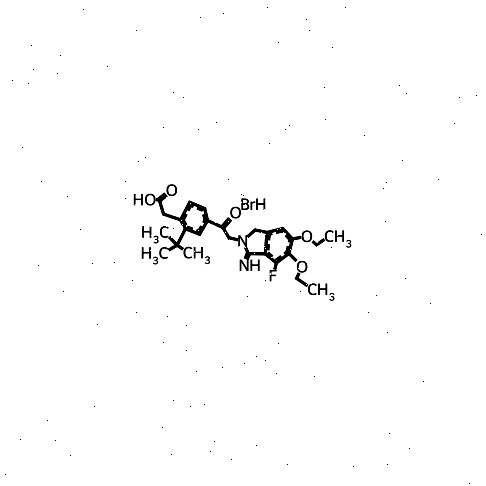 Br.CCOc1cc2c(c(F)c1OCC)C(=N)N(CC(=O)c1ccc(CC(=O)O)c(C(C)(C)C)c1)C2